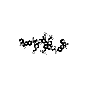 CNCc1cc(C2CC(C)(C(=O)N(CC(=O)Nc3ccc4c(c3)C[C@@]3(C4)C(=O)Nc4ncccc43)Cc3ccccc3CNC)CCN2CC(=O)O)ccc1CN(CC(=O)Nc1ccc2c(c1)C[C@@]1(C2)C(=O)Nc2ncccc21)C(=O)C1(C)CCN(CCO)CC1